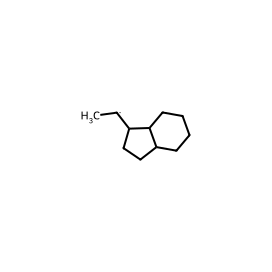 C[CH]C1CCC2CCCCC12